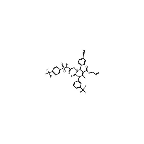 C=CCOC(=O)C1=C(C)N(c2cccc(C(F)(F)F)c2)C(=O)N(CC(=O)NS(=O)(=O)c2ccc(C(F)(F)F)cc2)C1c1ccc(C#N)cc1